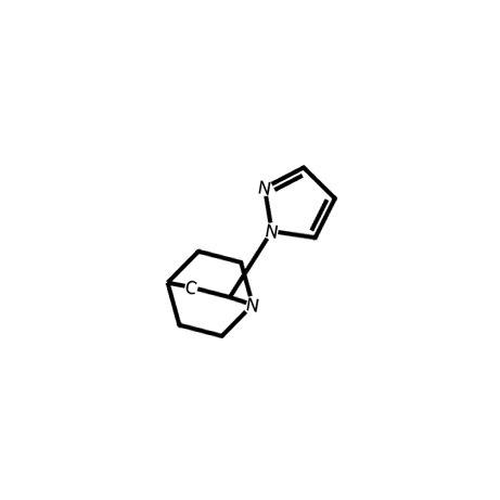 c1cnn(C2CC3CCN2CC3)c1